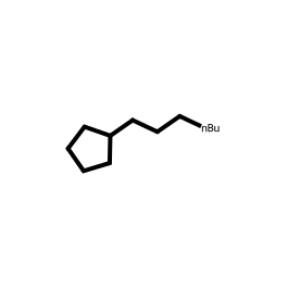 CCCCCC[CH]C1CCCC1